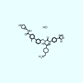 Cc1cc(C(=O)NC2C3CNCC32)ccc1-c1cccc(C[C@H](NC(=O)C2CCC(CN)CC2)C(=O)Nc2ccc(-c3nnn[nH]3)cc2)c1.Cl